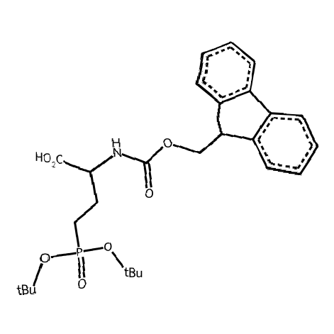 CC(C)(C)OP(=O)(CCC(NC(=O)OCC1c2ccccc2-c2ccccc21)C(=O)O)OC(C)(C)C